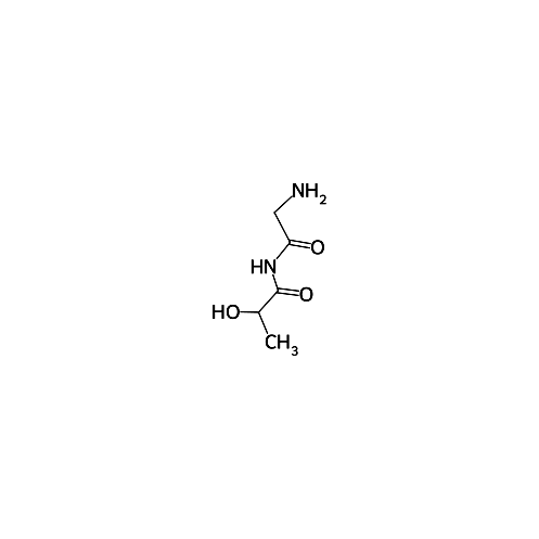 CC(O)C(=O)NC(=O)CN